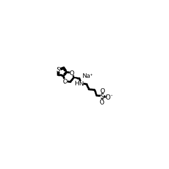 O=S(=O)([O-])CCCCNCC1COc2cscc2O1.[Na+]